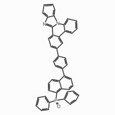 O=P(c1ccccc1)(c1ccccc1)c1cccc2c(-c3ccc(-c4ccc5c(c4)c4ccccc4n4c6ccccc6nc54)cc3)cccc12